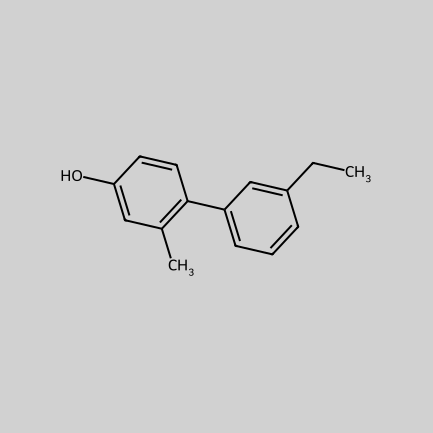 CCc1cccc(-c2ccc(O)cc2C)c1